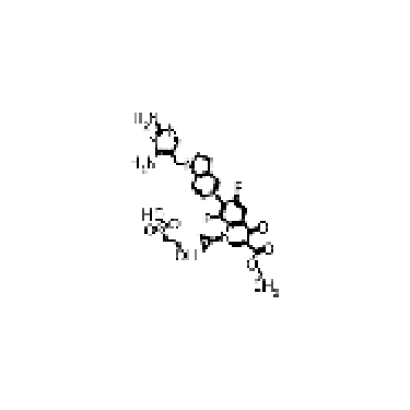 CCOC(=O)c1cn(C2CC2)c2c(F)c(-c3ccc4c(c3)CCN4Cc3cnc(N)nc3N)c(F)cc2c1=O.O=S(=O)(O)CCO